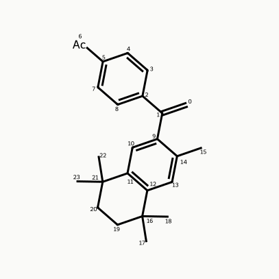 C=C(c1ccc(C(C)=O)cc1)c1cc2c(cc1C)C(C)(C)CCC2(C)C